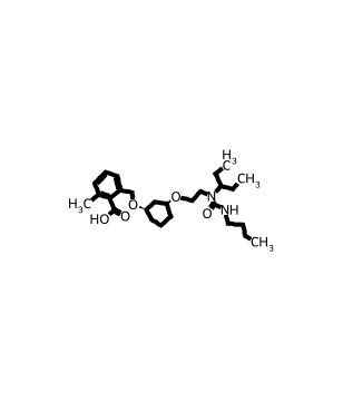 CCCCNC(=O)N(CCO[C@@H]1CCC[C@H](OCc2cccc(C)c2C(=O)O)C1)C(CC)CC